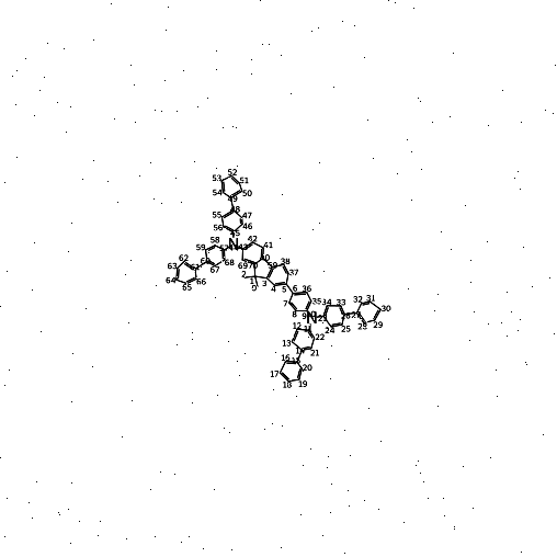 CC1(C)c2cc(-c3ccc(N(c4ccc(-c5ccccc5)cc4)c4ccc(-c5ccccc5)cc4)cc3)ccc2-c2ccc(N(c3ccc(-c4ccccc4)cc3)c3ccc(-c4ccccc4)cc3)cc21